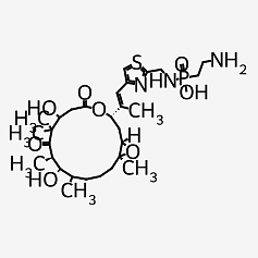 C/C(=C\c1csc(CNP(=O)(O)CCN)n1)[C@@H]1C[C@@H]2O[C@]2(C)CCCC(C)[C@H](O)[C@@H](C)C(=O)C(C)(C)C(O)CC(=O)O1